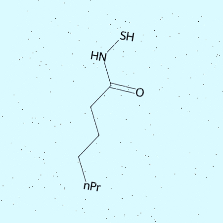 CCCCCCC(=O)NS